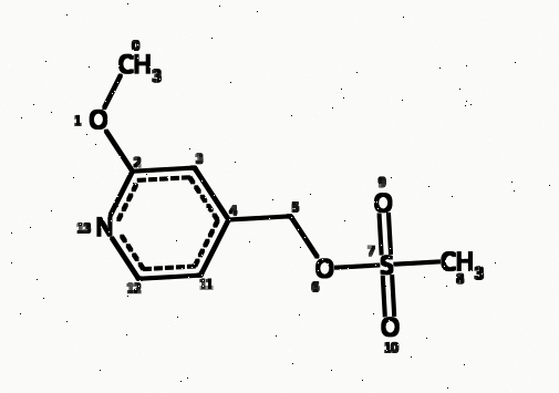 COc1cc(COS(C)(=O)=O)ccn1